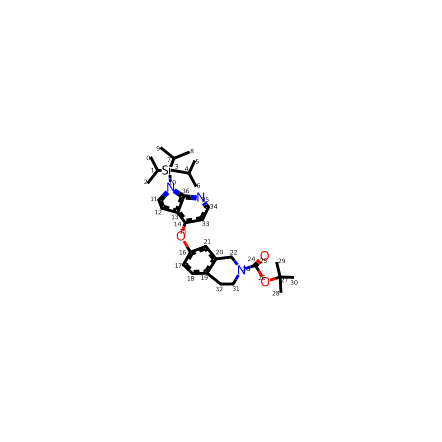 CC(C)[Si](C(C)C)(C(C)C)n1ccc2c(Oc3ccc4c(c3)CN(C(=O)OC(C)(C)C)CC4)ccnc21